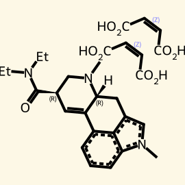 CCN(CC)C(=O)[C@@H]1C=C2c3cccc4c3c(cn4C)C[C@H]2N(C)C1.O=C(O)/C=C\C(=O)O.O=C(O)/C=C\C(=O)O